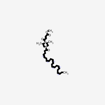 CC/C=C\C/C=C\C/C=C\C/C=C\C/C=C\C/C=C\CCC(=O)N1C[C@@H](C)N(C(=O)C=CC(=O)OC)[C@@H](C)C1